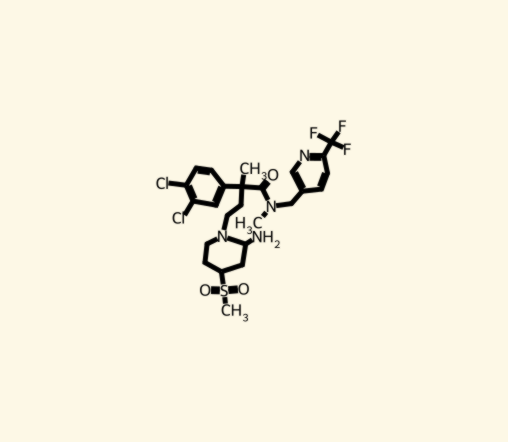 CN(Cc1ccc(C(F)(F)F)nc1)C(=O)C(C)(CCN1CCC(S(C)(=O)=O)CC1N)c1ccc(Cl)c(Cl)c1